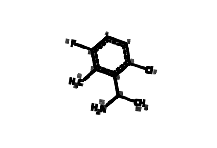 Cc1c(F)ccc(Cl)c1C(C)N